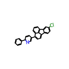 Clc1ccc2c(c1)-c1cccc3c(-c4ccc(-c5ccccc5)nc4)ccc-2c13